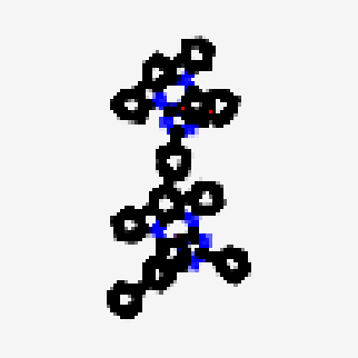 c1ccc(-c2ccc(-c3nc(-c4ccccc4)nc(-n4c5ccccc5c5c(-c6ccc(-c7nc(-c8ccccc8)nc(-n8c9ccccc9c9ccc%10c%11ccccc%11n(-c%11ccccc%11)c%10c98)n7)cc6)cc6c7ccccc7n(-c7ccccc7)c6c54)n3)cc2)cc1